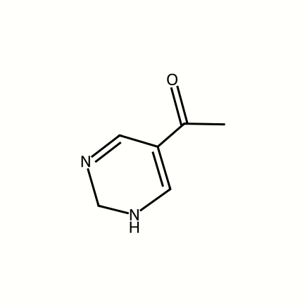 CC(=O)C1=CNCN=C1